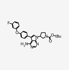 CC(C)(C)OC(=O)N1CCC(n2cc(-c3ccc(Oc4cccc(F)c4)cc3)c3c(N)ncnc32)C1